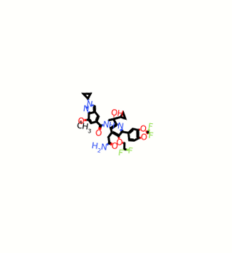 COc1cc(C(=O)NC[C@](O)(c2cc(CC(N)=O)c(OCC(F)F)c(-c3ccc4c(c3)OC(F)(F)O4)n2)C2CC2)cc2cn(C3CC3)nc12